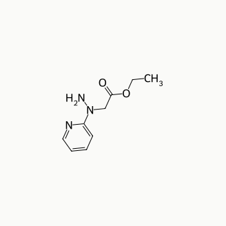 CCOC(=O)CN(N)c1ccccn1